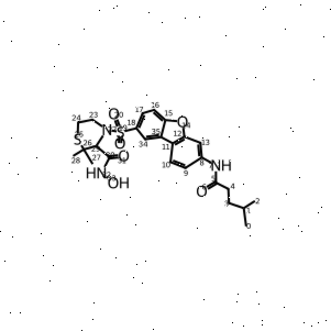 CC(C)CCC(=O)Nc1ccc2c(c1)oc1ccc(S(=O)(=O)N3CCSC(C)(C)C3C(=O)NO)cc12